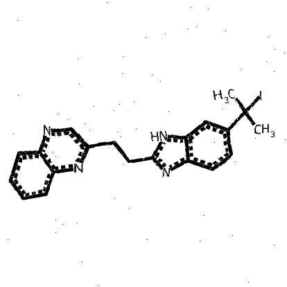 CC(C)(I)c1ccc2nc(CCc3cnc4ccccc4n3)[nH]c2c1